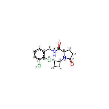 O=C(NCc1cccc(Cl)c1Cl)C1CCC(=O)N1C1CCC1